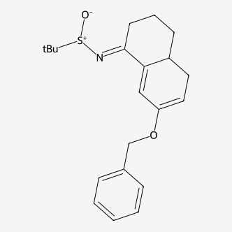 CC(C)(C)[S+]([O-])N=C1CCCC2CC=C(OCc3ccccc3)C=C12